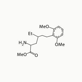 CCC(CCc1c(OC)cccc1OC)CC(N)C(=O)OC